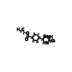 CCOC(=O)c1ccc(-c2cnc(=O)[nH]n2)cc1